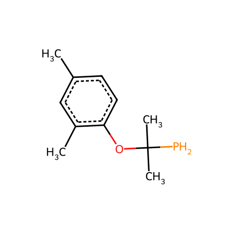 Cc1ccc(OC(C)(C)P)c(C)c1